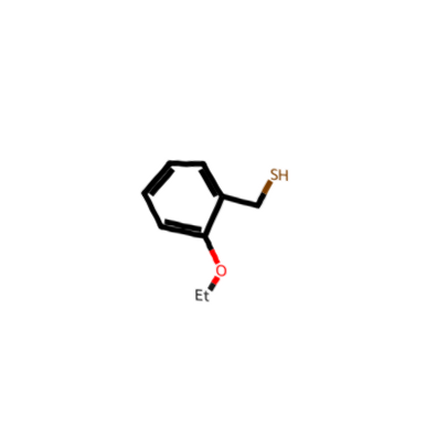 CCOc1ccccc1CS